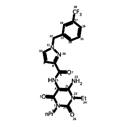 CCCn1c(=O)c(NC(=O)c2ccn(Cc3cccc(C(F)(F)F)c3)n2)c(N)n(CC)c1=O